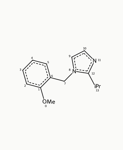 COc1ccccc1Cn1ccnc1C(C)C